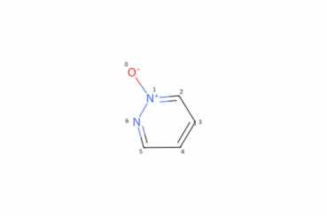 [O-][n+]1c[c]ccn1